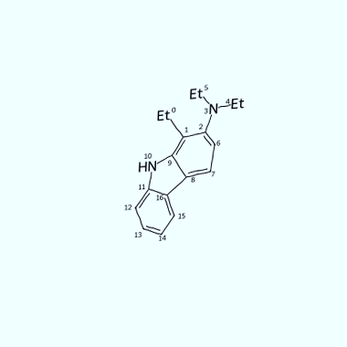 CCc1c(N(CC)CC)ccc2c1[nH]c1ccccc12